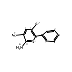 CC(=O)c1cc(Br)c(-c2ccccc2)nc1N